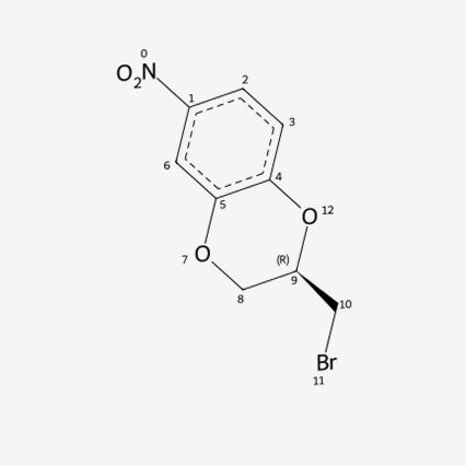 O=[N+]([O-])c1ccc2c(c1)OC[C@H](CBr)O2